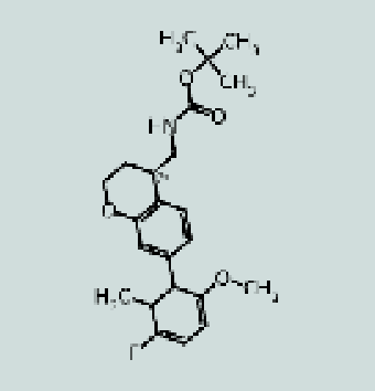 COC1=CC=C(F)C(C)C1c1ccc2c(c1)OCC[C@H]2CNC(=O)OC(C)(C)C